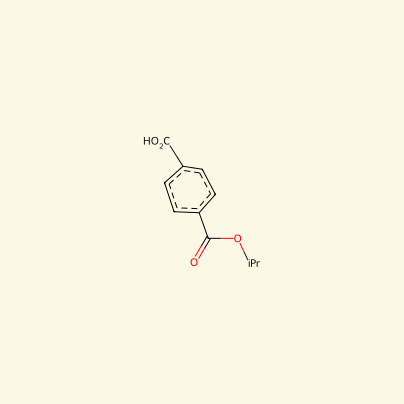 CC(C)OC(=O)c1ccc(C(=O)O)cc1